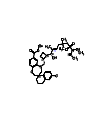 CPN(PC)S(=O)(=O)CC(C)(C)C/C=C(\C)[C@H](O)[C@@H]1CC[C@H]1CN1C[C@@]2(CCCc3cc(Cl)ccc32)COc2ccc(C(=O)OC(C)(C)C)cc21